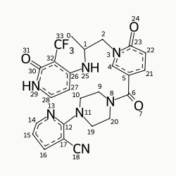 CC(Cn1cc(C(=O)N2CCN(c3ncccc3C#N)CC2)ccc1=O)Nc1cc[nH]c(=O)c1C(F)(F)F